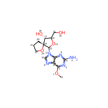 COc1nc(N)nc2c1ncn2C1OC(CO)[C@@H](O)[C@]12CCCO2